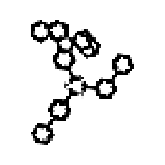 c1ccc(-c2ccc(-c3nc(-c4cccc(-c5ccccc5)c4)nc(-c4ccc5c(c4)C4(c6ccc7ccccc7c6-5)C5CC6CC(C5)CC4C6)n3)cc2)cc1